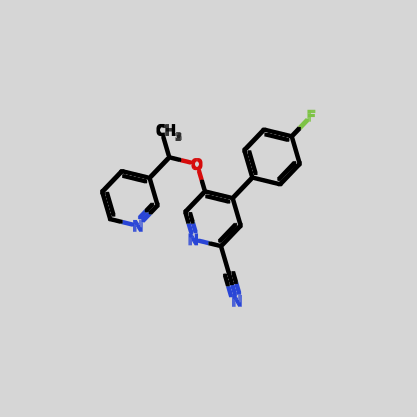 CC(Oc1cnc(C#N)cc1-c1ccc(F)cc1)c1cccnc1